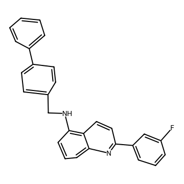 Fc1cccc(-c2ccc3c(NCc4ccc(-c5ccccc5)cc4)cccc3n2)c1